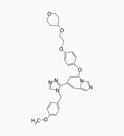 COc1ccc(Cn2cnnc2-c2cc(Oc3ccc(OCCOC4CCOCC4)cc3)n3cncc3c2)cc1